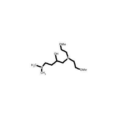 COCCN(CCOC)CC(O)CCN(C)C